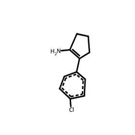 NC1=C(c2ccc(Cl)cc2)CCC1